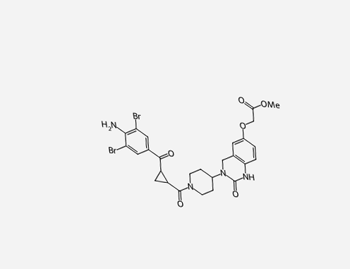 COC(=O)COc1ccc2c(c1)CN(C1CCN(C(=O)C3CC3C(=O)c3cc(Br)c(N)c(Br)c3)CC1)C(=O)N2